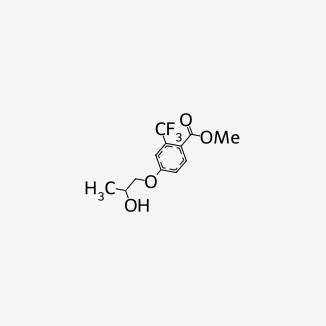 COC(=O)c1ccc(OCC(C)O)cc1C(F)(F)F